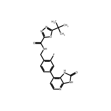 CC(C)(C)c1nnc(C(=O)NCc2ccc(-c3ccnc4[nH]c(=O)[nH]c34)cc2F)o1